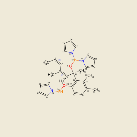 C/C=C\C(C)=C(\C)[C@@](C)(OP(n1cccc1)n1cccc1)c1c(OPn2cccc2)ccc(C)c1C